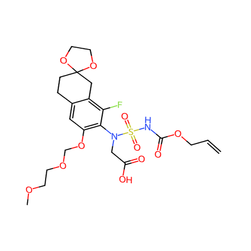 C=CCOC(=O)NS(=O)(=O)N(CC(=O)O)c1c(OCOCCOC)cc2c(c1F)CC1(CC2)OCCO1